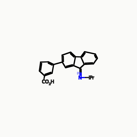 CC(C)/N=C1\c2ccccc2-c2ccc(-c3cccc(C(=O)O)c3)cc21